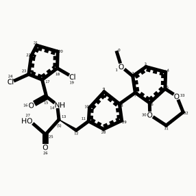 COc1ccc2c(c1-c1ccc(C[C@H](NC(=O)c3c(Cl)cccc3Cl)C(=O)O)cc1)OCCO2